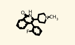 CN1CCC(c2[nH]c(=O)c3ccccc3c2-c2ccccc2F)CC1